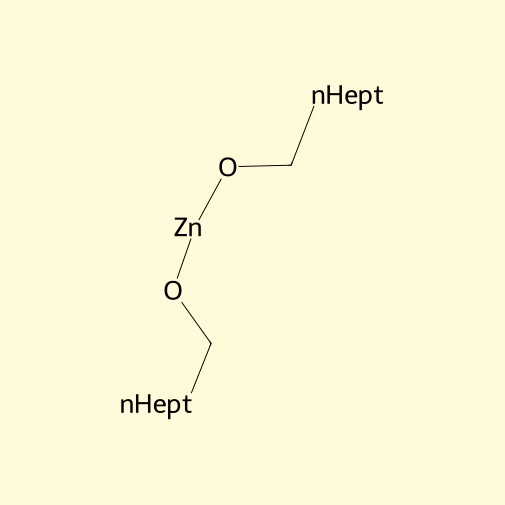 CCCCCCCC[O][Zn][O]CCCCCCCC